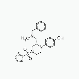 CN(Cc1ccccc1)C[C@H]1CN(S(=O)(=O)c2cccs2)CCN1c1ccc(O)cc1